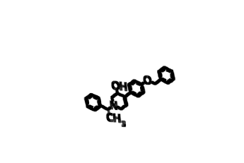 C[C@H](c1ccccc1)N1CC=C(c2ccc(OCc3ccccc3)cc2)C(O)C1